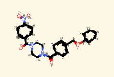 O=C(c1ccc(COc2ccccc2)cc1)N1CCN(C(=O)c2ccc([N+](=O)[O-])cc2)CC1